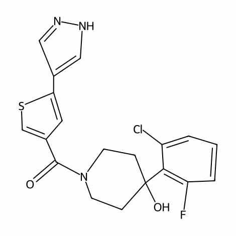 O=C(c1csc(-c2cn[nH]c2)c1)N1CCC(O)(c2c(F)cccc2Cl)CC1